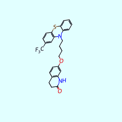 O=C1CCc2ccc(OCCCCN3c4ccccc4Sc4ccc(C(F)(F)F)cc43)cc2N1